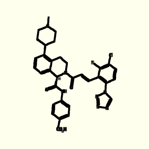 CN1CCC(c2cccc3c2CCN(C(=O)C=Cc2c(-n4cnnn4)ccc(Cl)c2F)[C@H]3C(=O)Nc2ccc(C(=O)O)cc2)CC1